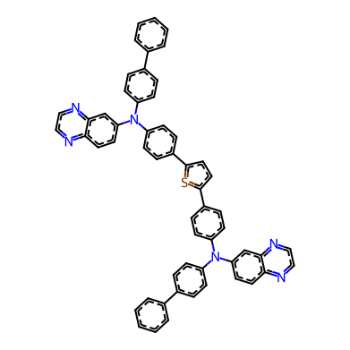 c1ccc(-c2ccc(N(c3ccc(-c4ccc(-c5ccc(N(c6ccc(-c7ccccc7)cc6)c6ccc7nccnc7c6)cc5)s4)cc3)c3ccc4nccnc4c3)cc2)cc1